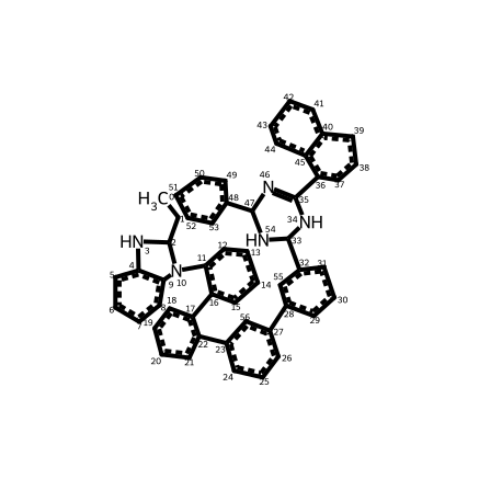 CCC1Nc2ccccc2N1c1ccccc1-c1ccccc1-c1cccc(-c2cccc(C3NC(c4cccc5ccccc45)=NC(c4ccccc4)N3)c2)c1